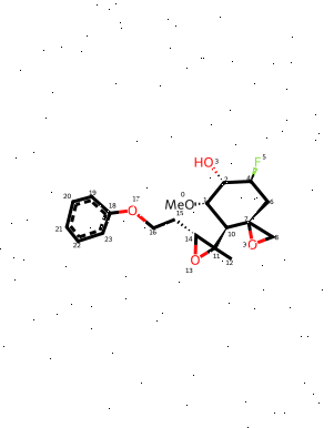 CO[C@@H]1[C@H](O)[C@@H](F)C[C@]2(CO2)[C@H]1C1(C)O[C@@H]1CCOc1ccccc1